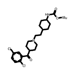 CC(C)(C)OC(=O)NC1CCC(CCN2CCC(C(=O)c3cc(Cl)ccc3Cl)CC2)CC1